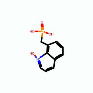 O=P(O)(O)Cc1cccc2ccc[n+](O)c12